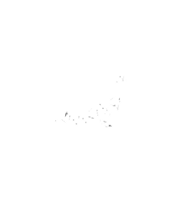 CC1(C)CC(Oc2ccc(C(=O)Nc3ccc(NC(=O)Nc4cc(C(C)(C)C)on4)cc3)nc2)CC(C)(C)N1.CS(=O)(=O)O